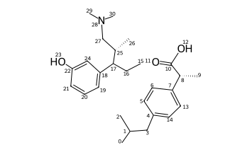 CC(C)Cc1ccc([C@@H](C)C(=O)O)cc1.CCC(c1cccc(O)c1)[C@@H](C)CN(C)C